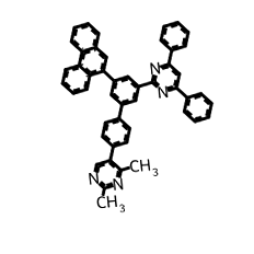 Cc1ncc(-c2ccc(-c3cc(-c4nc(-c5ccccc5)cc(-c5ccccc5)n4)cc(-c4cc5ccccc5c5ccccc45)c3)cc2)c(C)n1